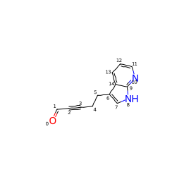 O=CC#CCCc1c[nH]c2ncccc12